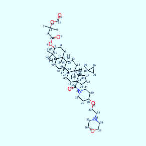 CC(C)(CC(=O)O[C@H]1CC[C@]2(C)[C@H]3CC[C@@H]4[C@H]5[C@H](C6(C)CC6)CC[C@]5(C(=O)N5CCC(OCCN6CCOCC6)CC5)CC[C@@]4(C)[C@]3(C)CC[C@H]2C1(C)C)OC=O